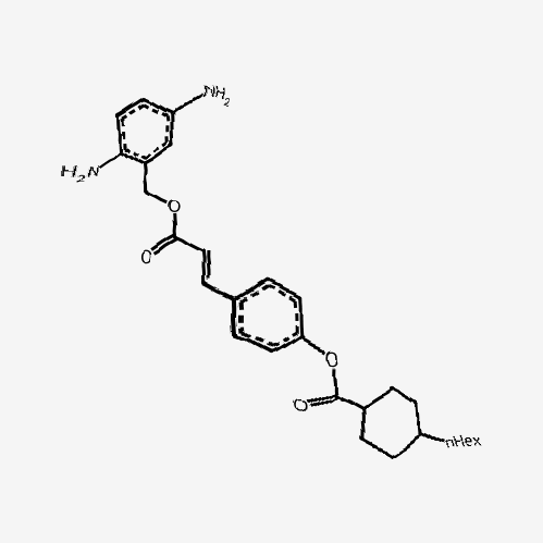 CCCCCCC1CCC(C(=O)Oc2ccc(/C=C/C(=O)OCc3cc(N)ccc3N)cc2)CC1